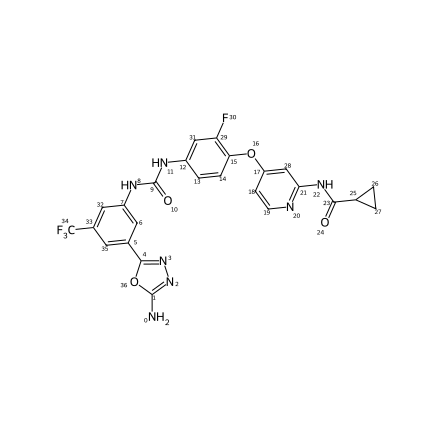 Nc1nnc(-c2cc(NC(=O)Nc3ccc(Oc4ccnc(NC(=O)C5CC5)c4)c(F)c3)cc(C(F)(F)F)c2)o1